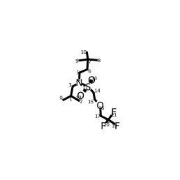 CC(C)CN(CCC(C)(C)C)S(=O)(=O)CCOCC(F)(F)F